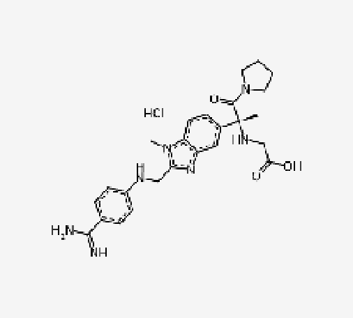 Cl.Cn1c(CNc2ccc(C(=N)N)cc2)nc2cc([C@@](C)(NCC(=O)O)C(=O)N3CCCC3)ccc21